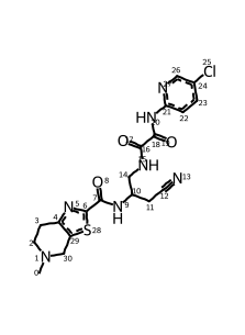 CN1CCc2nc(C(=O)NC(CC#N)CNC(=O)C(=O)Nc3ccc(Cl)cn3)sc2C1